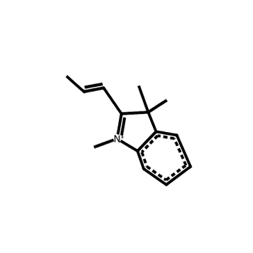 C/C=C/C1=[N+](C)c2ccccc2C1(C)C